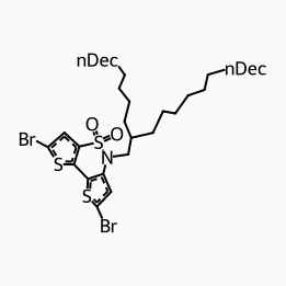 CCCCCCCCCCCCCCCCC(CCCCCCCCCCCCCC)CN1c2cc(Br)sc2-c2sc(Br)cc2S1(=O)=O